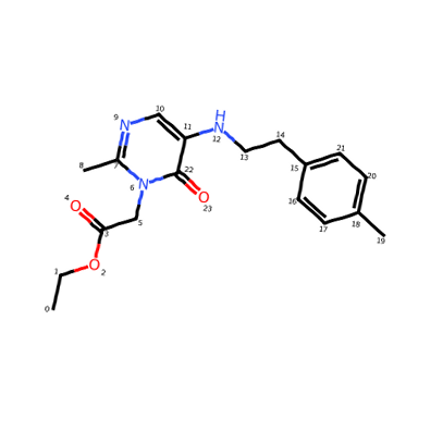 CCOC(=O)Cn1c(C)ncc(NCCc2ccc(C)cc2)c1=O